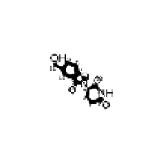 O=C1CCC(n2oc3ccc(CO)cc3c2=O)C(=O)N1